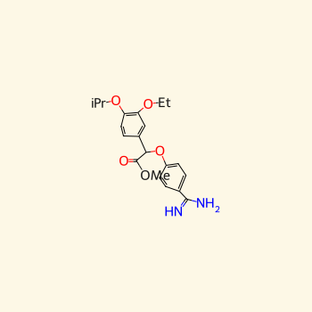 CCOc1cc(C(Oc2ccc(C(=N)N)cc2)C(=O)OC)ccc1OC(C)C